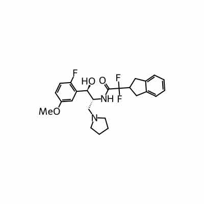 COc1ccc(F)c([C@@H](O)[C@@H](CN2CCCC2)NC(=O)C(F)(F)C2Cc3ccccc3C2)c1